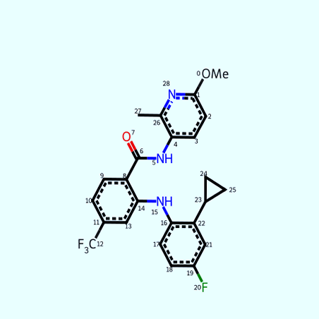 COc1ccc(NC(=O)c2ccc(C(F)(F)F)cc2Nc2ccc(F)cc2C2CC2)c(C)n1